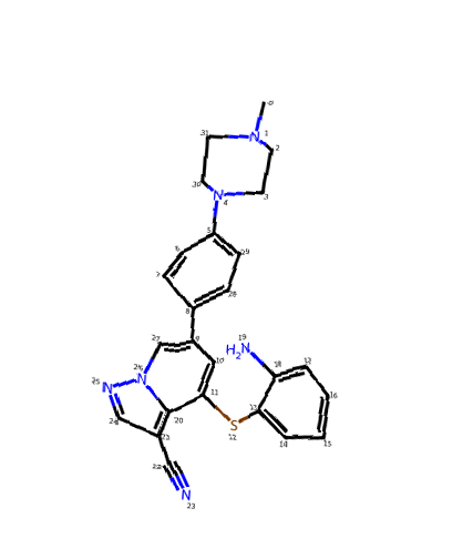 CN1CCN(c2ccc(-c3cc(Sc4ccccc4N)c4c(C#N)cnn4c3)cc2)CC1